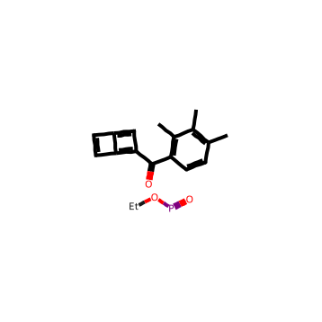 CCOP=O.Cc1ccc(C(=O)c2cc3ccc2-3)c(C)c1C